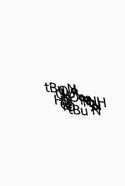 Cc1cc(-c2ccn3nc(Nc4cc(C)nc(C)n4)cc3c2)c(OC(CNC(=O)OC(C)(C)C)CNC(=O)OC(C)(C)C)cn1